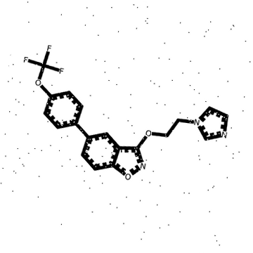 FC(F)(F)Oc1ccc(-c2ccc3onc(OCCn4ccnc4)c3c2)cc1